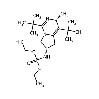 CCOP(=O)(N[C@H]1CC2=C(C(C)(C)C)[C@H](C)N=C(C(C)(C)C)N2C1)OCC